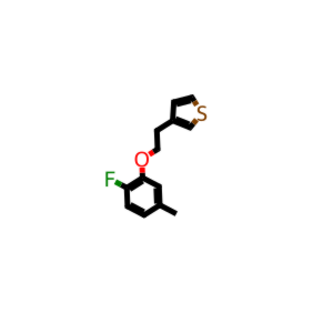 Cc1ccc(F)c(OCCc2ccsc2)c1